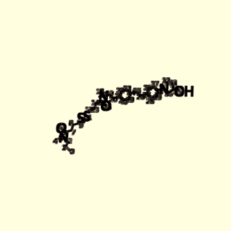 CCCN(C)C(=O)CCCSSCCCC(=O)N(C)CCc1ccc(/C=C/c2ccc(N3CCC(O)C3)cc2)cc1